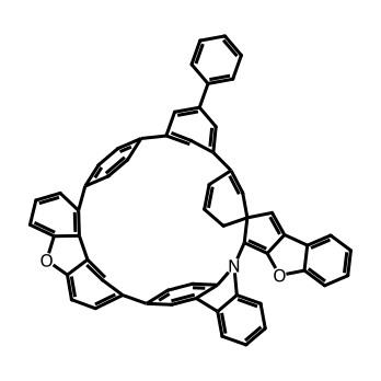 C1=CC2=CC3(C=c4c(oc5ccccc45)=C3n3c4ccccc4c4cc(ccc43)-c3ccc4oc5cccc(c5c4c3)-c3ccc(cc3)-c3cc2cc(-c2ccccc2)c3)C1